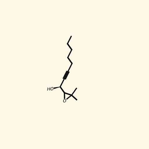 CCCCCC#C[C@H](O)C1OC1(C)C